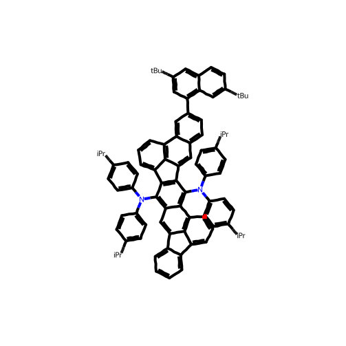 CC(C)c1ccc(N(c2ccc(C(C)C)cc2)c2c3cc4c5ccccc5c5cccc(c3c(N(c3ccc(C(C)C)cc3)c3ccc(C(C)C)cc3)c3c6cc7ccc(-c8cc(C(C)(C)C)cc9ccc(C(C)(C)C)cc89)cc7c7cccc(c23)c76)c54)cc1